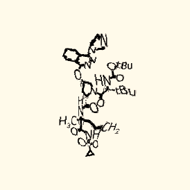 C=CC[C@@](C)(NC(=O)[C@@H]1C[C@@H](Oc2nnc(-n3ccnc3)c3ccccc23)CN1C(=O)[C@@H](NC(=O)OC(C)(C)C)C(C)(C)C)C(=O)NS(=O)(=O)C1CC1